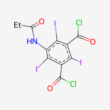 CCC(=O)Nc1c(I)c(C(=O)Cl)c(I)c(C(=O)Cl)c1I